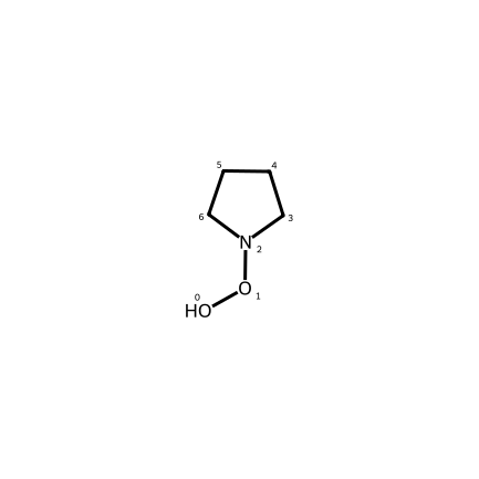 OON1CCCC1